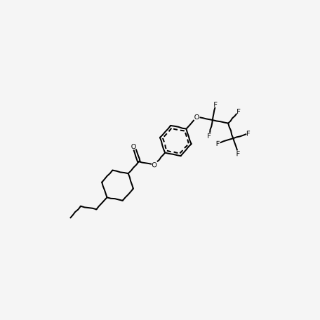 CCCC1CCC(C(=O)Oc2ccc(OC(F)(F)C(F)C(F)(F)F)cc2)CC1